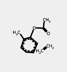 C=C.CC(=O)Oc1ccccc1C